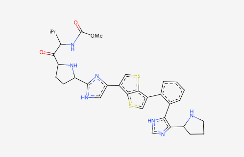 COC(=O)NC(C(=O)C1CCC(c2nc(-c3csc4c(-c5ccccc5-c5[nH]cnc5C5CCCN5)csc34)c[nH]2)N1)C(C)C